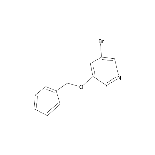 Brc1cn[c]c(OCc2ccccc2)c1